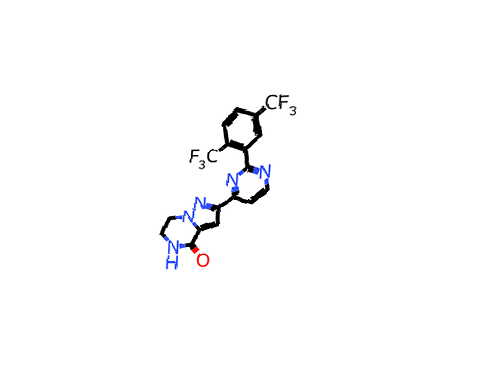 O=C1NCCn2nc(-c3ccnc(-c4cc(C(F)(F)F)ccc4C(F)(F)F)n3)cc21